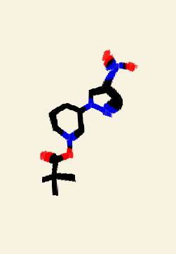 CC(C)(C)C(=O)ON1CCCC(n2cc([N+](=O)[O-])cn2)C1